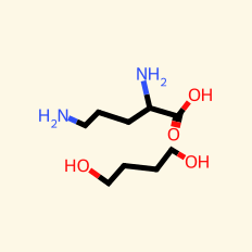 NCCCC(N)C(=O)O.OCCCCO